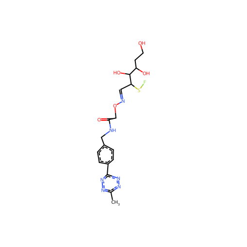 Cc1nnc(-c2ccc(CNC(=O)CO/N=C/C(SF)C(O)C(O)CCO)cc2)nn1